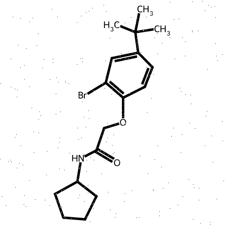 CC(C)(C)c1ccc(OCC(=O)NC2CCCC2)c(Br)c1